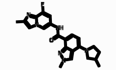 Cc1cn2cc(NC(=O)c3ccc(N4CCC(C)C4)c4cn(C)nc34)cc(F)c2n1